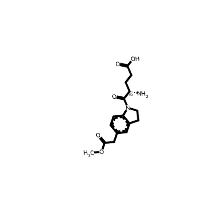 COC(=O)Cc1ccc2c(c1)CCN2C(=O)[C@@H](N)CCC(=O)O